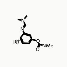 CNC(=O)Oc1cccc(N=CN(C)C)c1.[Cl-].[H+]